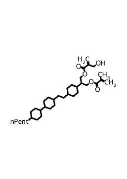 C=C(C)C(=O)OCC(COC(=O)C(=C)CO)C1CCC(CCC2CCC(C3CCC(CCCCC)CC3)CC2)CC1